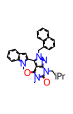 CC(C)Cn1c(=O)n(C)c(=O)c2c(-c3cc4ccccc4n3C)n(Cc3cccc4ccccc34)nc21